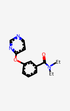 CCN(CC)C(=O)c1cccc(Oc2ccncn2)c1